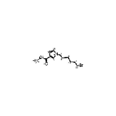 COC(=O)c1cn(CCCCCCBr)cn1